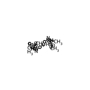 CCCN(Cc1ncc(-c2ccc3cc(-c4ccc(-c5cnc(CN(C[C@@H](C)Cc6ccccc6)C(=O)CNC(=O)OC)[nH]5)cc4)ccc3c2)[nH]1)C(=O)CNC(=O)OC